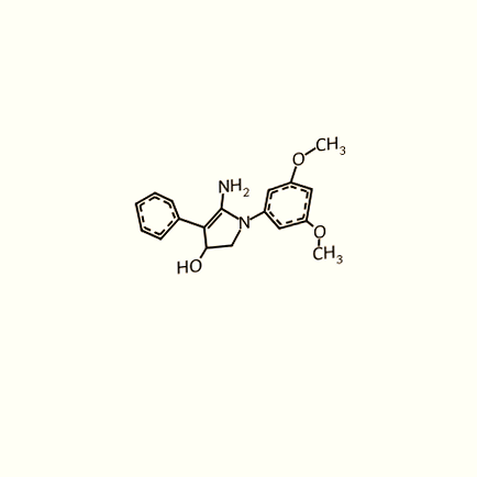 COc1cc(OC)cc(N2CC(O)C(c3ccccc3)=C2N)c1